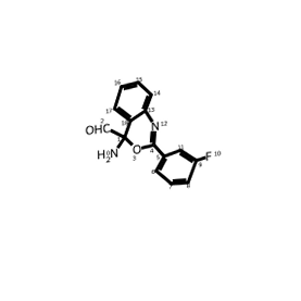 NC1(C=O)OC(c2cccc(F)c2)=Nc2ccccc21